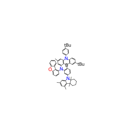 Cc1cc2c3c(c1)N(c1cccc4oc5ccccc5c14)c1cc(N4c5cc(C)cc(C)c5C5(C)CCCCC45C)ccc1B3c1cc(C(C)(C)C)ccc1N2c1ccc(C(C)(C)C)cc1